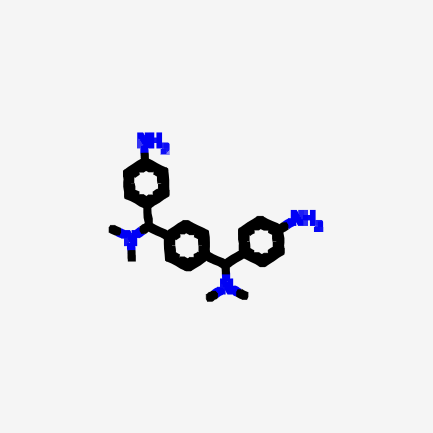 CN(C)C(c1ccc(N)cc1)c1ccc(C(c2ccc(N)cc2)N(C)C)cc1